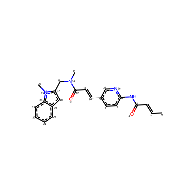 C/C=C/C(=O)Nc1ccc(/C=C/C(=O)N(C)Cc2cc3ccccc3n2C)cn1